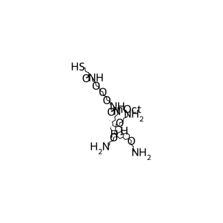 CCCCCCCCN(CCC[C@@H](C)[C@H]1CC[C@H]2C3[C@H](OCCCN)CC4C[C@H](OCCCN)CCC4(C)[C@H]3C[C@H](OCCCN)C12C)C(=O)NCCOCCOCCOCCNC(=O)CCCS